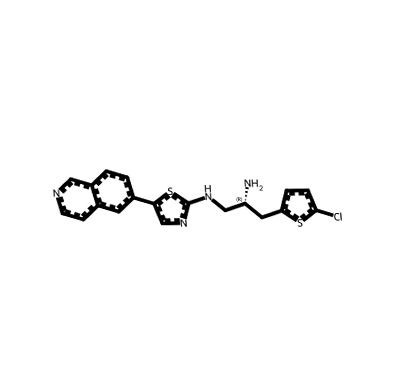 N[C@@H](CNc1ncc(-c2ccc3cnccc3c2)s1)Cc1ccc(Cl)s1